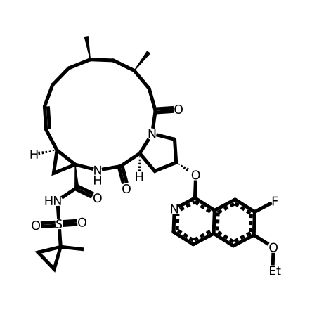 CCOc1cc2ccnc(O[C@@H]3C[C@H]4C(=O)N[C@]5(C(=O)NS(=O)(=O)C6(C)CC6)C[C@H]5/C=C\CC[C@@H](C)C[C@@H](C)CC(=O)N4C3)c2cc1F